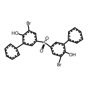 O=S(=O)(c1cc(Br)c(O)c(-c2ccccc2)c1)c1cc(Br)c(O)c(-c2ccccc2)c1